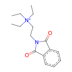 CC[N+](CC)(CC)CCN1C(=O)c2ccccc2C1=O